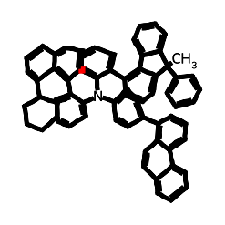 CC1(c2ccccc2)c2ccccc2-c2c(-c3ccccc3N(c3ccc(-c4cccc5c4ccc4ccccc45)cc3)c3ccccc3-c3cccc4cccc(C5CCCCC5)c34)cccc21